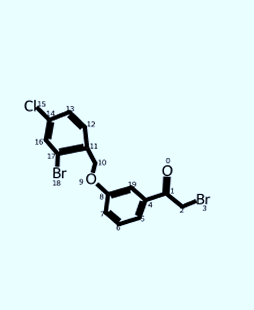 O=C(CBr)c1cccc(OCc2ccc(Cl)cc2Br)c1